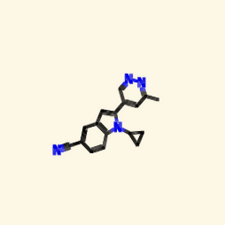 Cc1cc(-c2cc3cc(C#N)ccc3n2C2CC2)cnn1